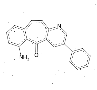 Nc1cccc2ccc3ncc(-c4ccccc4)cc3c(=O)c12